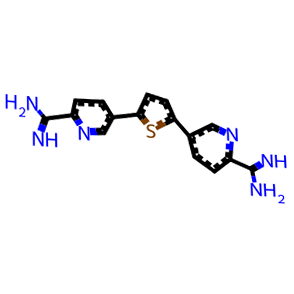 N=C(N)c1ccc(-c2ccc(-c3ccc(C(=N)N)nc3)s2)cn1